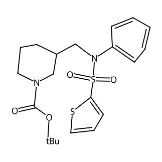 CC(C)(C)OC(=O)N1CCCC(CN(c2ccccc2)S(=O)(=O)c2cccs2)C1